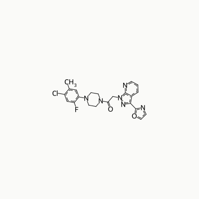 Cc1cc(N2CCN(C(=O)Cn3nc(-c4ncco4)c4cccnc43)CC2)c(F)cc1Cl